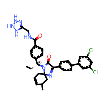 CC[C@H](c1ccc(C(=O)NCC2=NNNN2)cc1)N1C(=O)C(c2ccc(-c3cc(Cl)cc(Cl)c3)cc2)=NC12CC=CC(C)C2